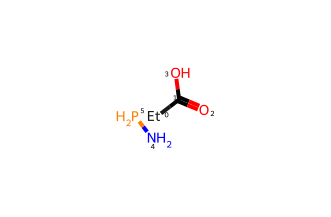 CCC(=O)O.NP